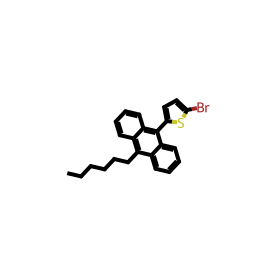 CCCCCCc1c2ccccc2c(-c2ccc(Br)s2)c2ccccc12